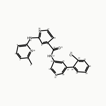 Cc1cccc(Nc2cc(C(=O)Nc3cncc(-c4ccccc4Cl)c3)ccn2)n1